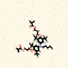 C=C(C)C(=O)OCCCOc1c(C(C)(C)C)cc(N(CCCCC)c2cc(C(C)(C)C)c(OCCCOC(=O)C(C)C)c(C(C)(C)C)c2)cc1C(C)(C)C